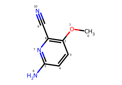 COc1ccc(N)nc1C#N